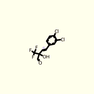 O=CC(O)(/C=C/c1ccc(Cl)c(Cl)c1)C(F)(F)F